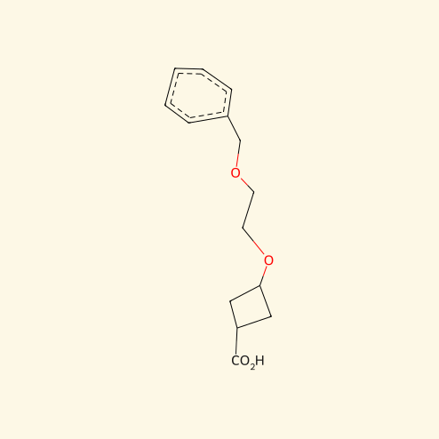 O=C(O)C1CC(OCCOCc2ccccc2)C1